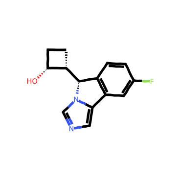 O[C@@H]1CC[C@@H]1[C@@H]1c2ccc(F)cc2-c2cncn21